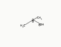 CCCCCCCCCCCCC(=O)OC(CCCCCC)CCCCCCCCC(=O)O